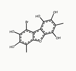 Cc1c(O)c(O)c2c(oc3c(C)c(O)c(O)c(Br)c32)c1O